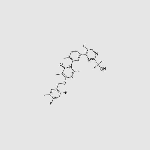 Cc1cc(COc2nc(C)n(-c3cc(-c4nc(C(C)(C)O)ncc4F)ccc3C)c(=O)c2C)c(F)cc1F